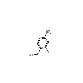 CCCOc1ccc([N+](=O)[O-])nc1C